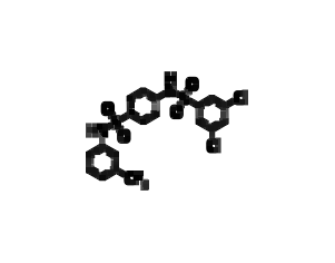 O=S(=O)(Nc1cccc(C(F)(F)F)c1)c1ccc(NS(=O)(=O)c2cc(Cl)cc(Cl)c2)cc1